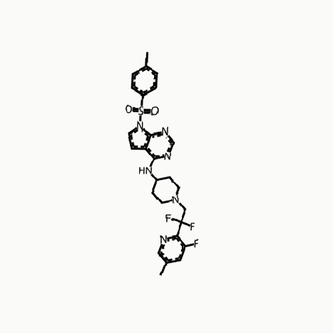 Cc1ccc(S(=O)(=O)n2ccc3c(NC4CCN(CC(F)(F)c5ncc(C)cc5F)CC4)ncnc32)cc1